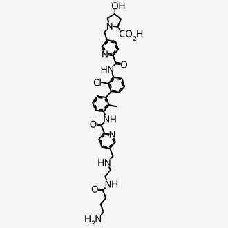 Cc1c(NC(=O)c2ccc(CNCCNC(=O)CCCN)cn2)cccc1-c1cccc(NC(=O)c2ccc(CN3C[C@H](O)C[C@H]3C(=O)O)cn2)c1Cl